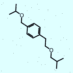 CC(C)COCCc1ccc(COC(C)C)cc1